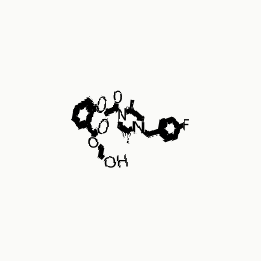 C[C@@H]1CN(C(=O)COc2ccccc2C(=O)OCCO)[C@@H](C)CN1Cc1ccc(F)cc1